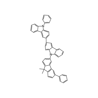 CC1(C)c2ccc(-c3ccccc3)cc2-c2cc(-n3c4ccccc4c4cc(-c5ccc6c(c5)c5ccccc5n6-c5ccccc5)ccc43)ccc21